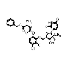 C[C@H](/N=[P+](\[O-])Oc1ccc(Cl)c(Cl)c1OC[C@H]1O[C@@H](n2ccc(=O)[nH]c2=O)[C@](C)(F)[C@@H]1O)C(=O)OCc1ccccc1